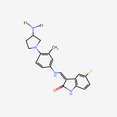 CCN(CC)C1CCN(c2ccc(N/C=C3\C(=O)Nc4ccc(F)cc43)cc2C)C1